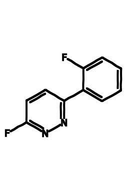 Fc1ccc(-c2ccccc2F)nn1